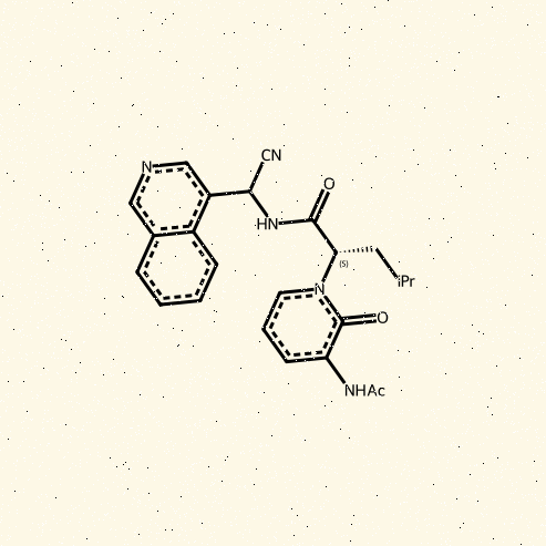 CC(=O)Nc1cccn([C@@H](CC(C)C)C(=O)NC(C#N)c2cncc3ccccc23)c1=O